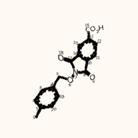 Cc1ccc(CON2C(=O)c3ccc(C(=O)O)cc3C2=O)cc1